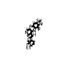 CCN1CC[C@H](c2cc3c(Nc4c(F)cc5scnc5c4F)ccnc3s2)C1(C)C